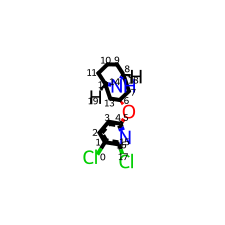 Clc1ccc(O[C@@H]2C[C@H]3CCC[C@@H](C2)N3)nc1Cl